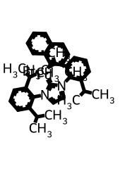 Cc1ccc2ccccc2[c]1[Pd]([Br])=[c]1n(-c2c(C(C)C)cccc2C(C)C)ccn1-c1c(C(C)C)cccc1C(C)C